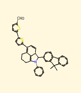 CC1(C)c2ccccc2-c2ccc(C3C4C=CC(c5ccc(-c6ccc(C=O)s6)s5)=C5CCCC(=C54)N3c3ccccc3)cc21